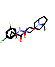 O=C(CCN1C2CC[C@@H]1CC(CNC(=O)c1cc(F)cc(Cl)c1)C2)NC1(C(F)(F)F)CC1